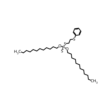 CCCCCCCCCCCCOP(=S)(OCCCCCCCCCCCC)SCCSc1ccccc1